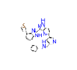 c1ccc(CNCc2cncc(-c3ccc4[nH]nc(-c5nc6c(-c7ccsc7)cccc6[nH]5)c4n3)c2)cc1